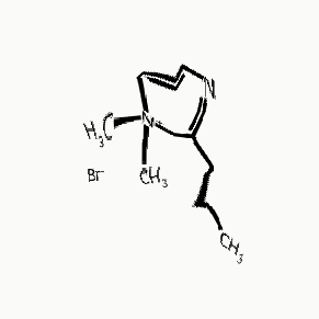 CCCC1=NC=C[N+]1(C)C.[Br-]